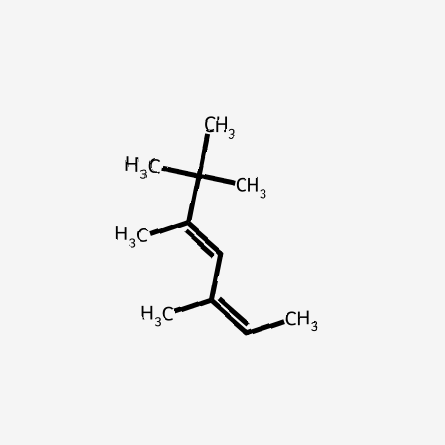 C/C=C(C)\C=C(/C)C(C)(C)C